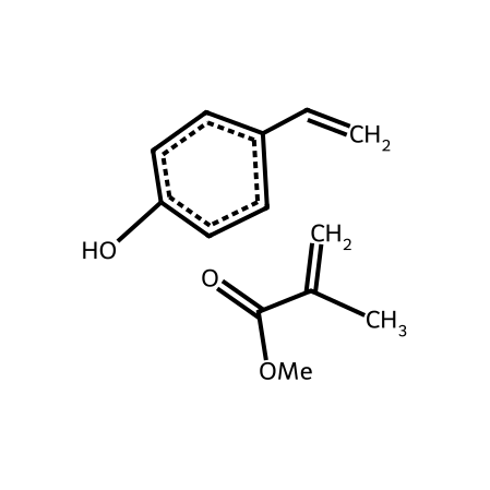 C=C(C)C(=O)OC.C=Cc1ccc(O)cc1